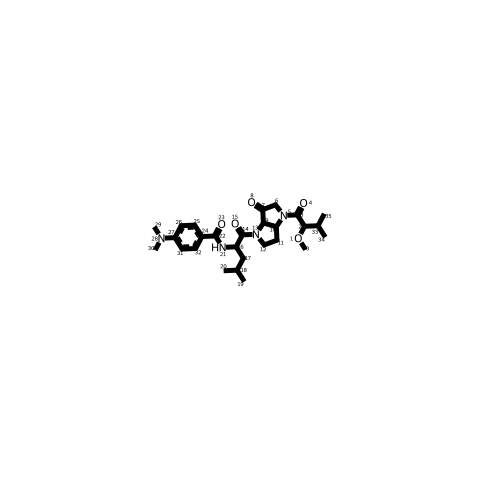 COC(C(=O)N1CC(=O)C2C1CCN2C(=O)C(CC(C)C)NC(=O)c1ccc(N(C)C)cc1)C(C)C